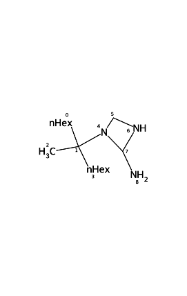 CCCCCCC(C)(CCCCCC)N1CNC1N